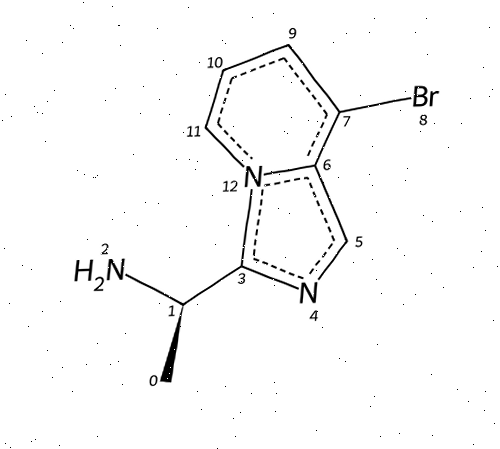 C[C@@H](N)c1ncc2c(Br)cccn12